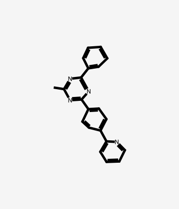 Cc1nc(-c2ccccc2)nc(-c2ccc(-c3ccccn3)cc2)n1